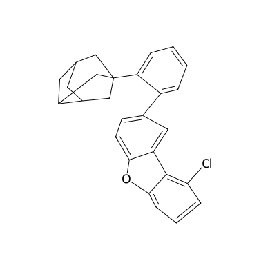 Clc1cccc2oc3ccc(-c4ccccc4C45CC6CC(C4)C(C6)C5)cc3c12